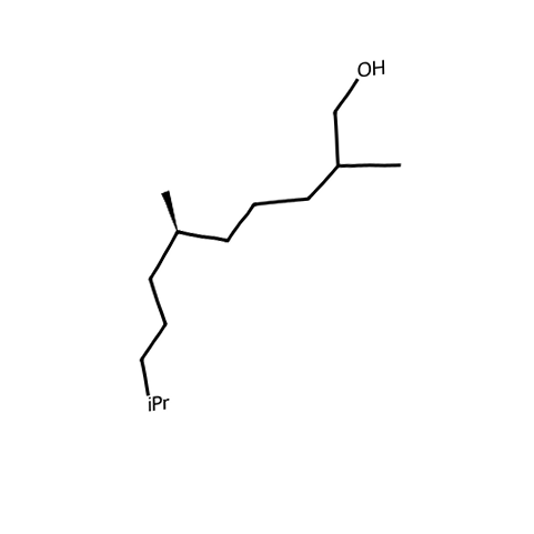 CC(C)CCC[C@@H](C)CCCC(C)CO